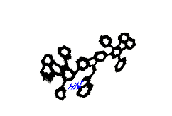 C(=C1c2cc(-c3cc(-c4ccccc4)c4c(c3-c3ccccc3)-c3cccc5cccc-4c35)ccc2-c2ccc(-c3cc(-c4ccccc4)c4c(c3-c3ccccc3)-c3cccc5cccc-4c35)cc21)c1c[nH]c2ccccc12